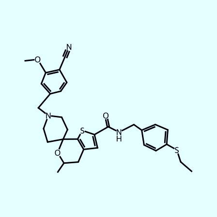 CCSc1ccc(CNC(=O)c2cc3c(s2)C2(CCN(Cc4ccc(C#N)c(OC)c4)CC2)OC(C)C3)cc1